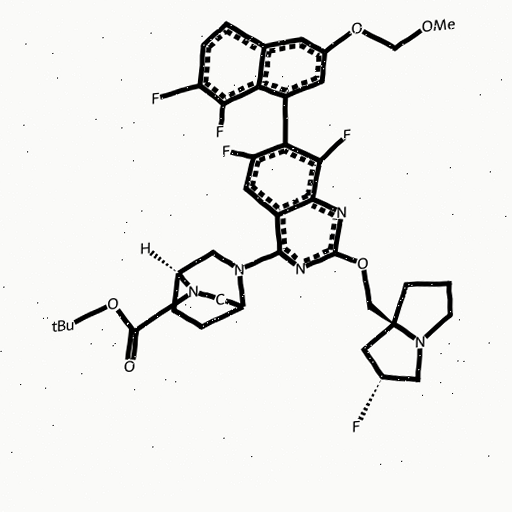 COCOc1cc(-c2c(F)cc3c(N4C[C@@H]5CCC4CN5C(=O)OC(C)(C)C)nc(OC[C@@]45CCCN4C[C@H](F)C5)nc3c2F)c2c(F)c(F)ccc2c1